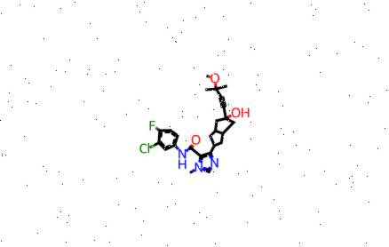 COC(C)(C)C#CC1(O)CC2CC(c3ncn(C)c3C(=O)Nc3ccc(F)c(Cl)c3)CC2C1